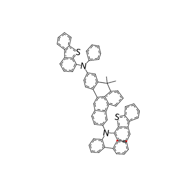 CC1(C)c2cc(N(c3ccccc3)c3cccc4c3sc3ccccc34)ccc2-c2cc3ccc(N(c4ccccc4-c4ccccc4)c4cccc5c4sc4ccccc45)cc3c3cccc1c23